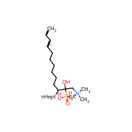 C=C/C=C/CCCCCCC(CCCCCCC)C(O)(C[N+](C)(C)C)P(=O)(O)O